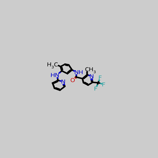 Cc1ccc(NC(=O)c2ccc(C(F)(F)F)nc2C)cc1Nc1ccccn1